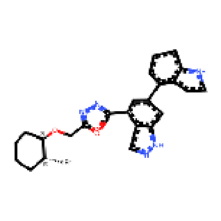 CC(C)[C@@H]1CCCC[C@H]1OCc1nnc(-c2cc(-c3cccc4[nH]ccc34)cc3[nH]ncc23)o1